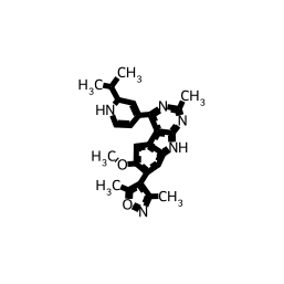 COc1cc2c(cc1-c1c(C)noc1C)[nH]c1nc(C)nc(C3=CC(C(C)C)NC=C3)c12